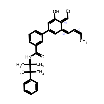 C\C=C/C=c1/cc(-c2cccc(C(=O)NC(C)(C)C(C)(C)c3ccccc3)c2)cc(O)/c1=C\CC